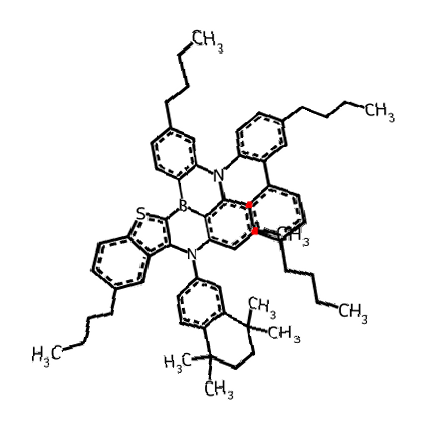 CCCCc1ccc(-c2cc(CCCC)ccc2N2c3cc(CCCC)ccc3B3c4sc5ccc(CCCC)cc5c4N(c4ccc5c(c4)C(C)(C)CCC5(C)C)c4cc(C)cc2c43)cc1